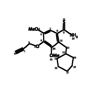 C#CCOc1c(OC)cc(C(N)=S)c(CC2CCCCC2)c1OC